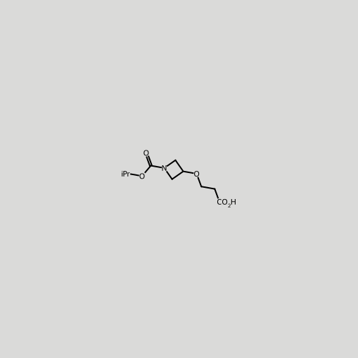 CC(C)OC(=O)N1CC(OCCC(=O)O)C1